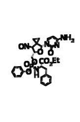 CCOC(=O)[C@H](Cc1ccccc1)NP(=O)(OC[C@H]1O[C@@H](n2ccc(N)nc2=O)C2(CC2)[C@@H]1N=O)Oc1ccccc1